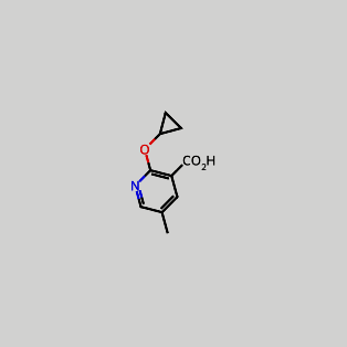 Cc1cnc(OC2CC2)c(C(=O)O)c1